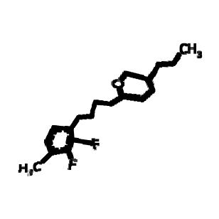 CCCC1CC=C(CCCCc2ccc(C)c(F)c2F)OC1